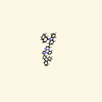 c1ccc(-n2c(-c3ccc4c5ccccc5c5ccccc5c4c3)ccc2-c2ncc(-c3ccc4c5ccccc5n(-c5ccc6ccccc6c5)c4c3)cn2)cc1